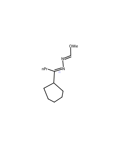 CCC/C(=N\N=COC)C1CCCCC1